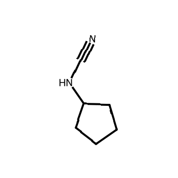 N#CNC1CCCC1